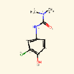 CN(C)C(=O)Nc1ccc(O)c(Cl)c1